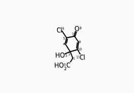 O=C(O)CC1(O)C=C(Cl)C(=O)C=C1Cl